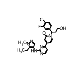 CCc1c(Nc2nccc(-c3ccn([C@H](CCO)c4ccc(Cl)c(F)c4)c(=O)c3)n2)cnn1C